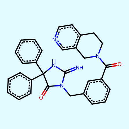 N=C1NC(c2ccccc2)(c2ccccc2)C(=O)N1Cc1cccc(C(=O)N2CCc3ccncc3C2)c1